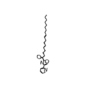 CCCCCCCCC=CCCCCCCCC(=O)c1nc(-c2ccccn2)co1